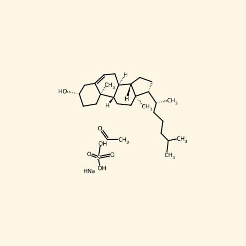 CC(C)CCC[C@@H](C)[C@H]1CC[C@H]2[C@@H]3CC=C4C[C@@H](O)CC[C@]4(C)[C@H]3CC[C@]12C.CC=O.O=S(=O)(O)O.[NaH]